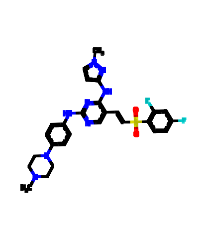 CN1CCN(c2ccc(Nc3ncc(C=CS(=O)(=O)c4ccc(F)cc4F)c(Nc4ccn(C)n4)n3)cc2)CC1